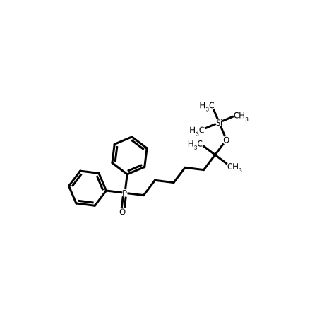 CC(C)(CCCCCP(=O)(c1ccccc1)c1ccccc1)O[Si](C)(C)C